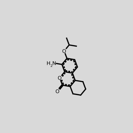 CC(C)Oc1ccc2c3c(c(=O)oc2c1N)CCCC3